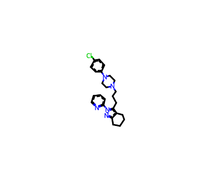 Clc1ccc(N2CCN(CCCc3c4c(nn3-c3ccccn3)CCCC4)CC2)cc1